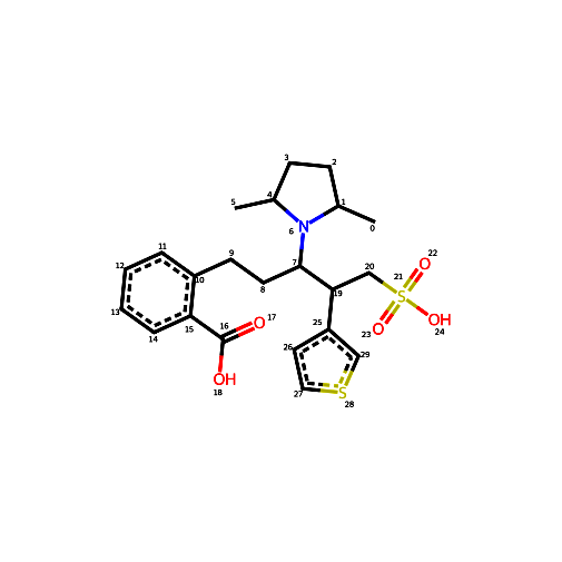 CC1CCC(C)N1C(CCc1ccccc1C(=O)O)C(CS(=O)(=O)O)c1ccsc1